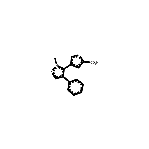 Cn1ncc(-c2ccccc2)c1-c1csc(C(=O)O)c1